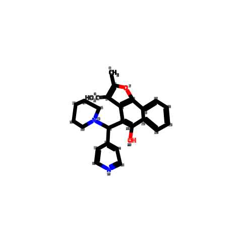 Cc1oc2c(c1C(=O)O)c(C(c1ccncc1)N1CCCCC1)c(O)c1ccccc12